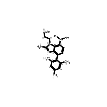 CCCN(CCC)c1ccc(-c2c(C)cc(C)cc2C)c2nc(N)n(CCOC)c12